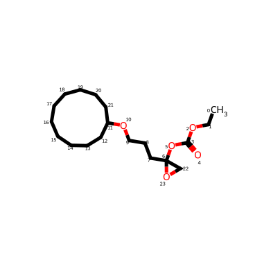 CCOC(=O)OC1(CCCOC2CCCCCCCCCC2)CO1